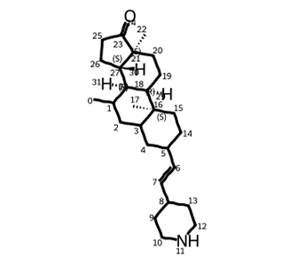 CC1CC2CC(C=CC3CCNCC3)CC[C@]2(C)[C@@H]2CC[C@]3(C)C(=O)CC[C@H]3[C@H]12